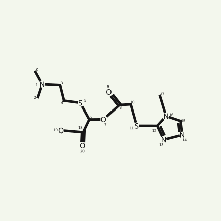 CN(C)CCSC(OC(=O)CSc1nncn1C)C([O])=O